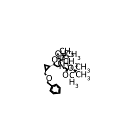 CC(C)(C)OC(=O)NCC(O[Si](C)(C)C(C)(C)C)[C@H]1C[C@@H]1COCc1ccccc1